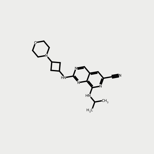 CC(C)Nc1nc(C#N)cc2cnc(NC3CC(N4CCOCC4)C3)nc12